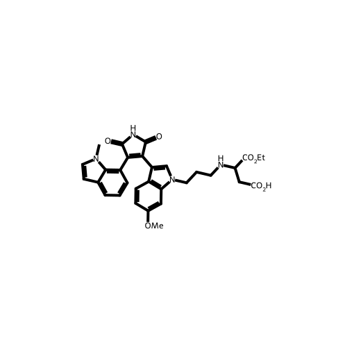 CCOC(=O)C(CC(=O)O)NCCCn1cc(C2=C(c3cccc4ccn(C)c34)C(=O)NC2=O)c2ccc(OC)cc21